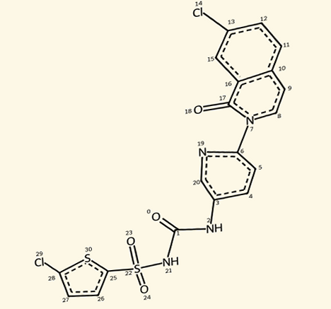 O=C(Nc1ccc(-n2ccc3ccc(Cl)cc3c2=O)nc1)NS(=O)(=O)c1ccc(Cl)s1